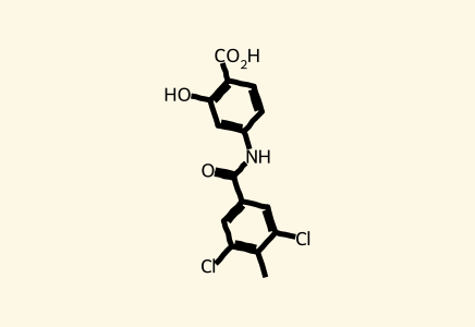 Cc1c(Cl)cc(C(=O)Nc2ccc(C(=O)O)c(O)c2)cc1Cl